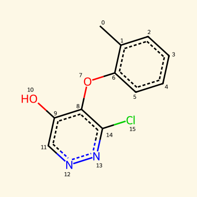 Cc1ccccc1Oc1c(O)cnnc1Cl